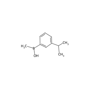 CB(O)c1cccc(C(C)C)c1